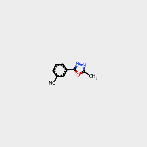 Cc1nnc(-c2cccc(C#N)c2)o1